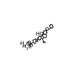 COC(OC)C1CCN(c2ccc(C3(O)C(=CC4CC4)CCc4cc(OCc5ccccc5)ccc43)cc2)CC1